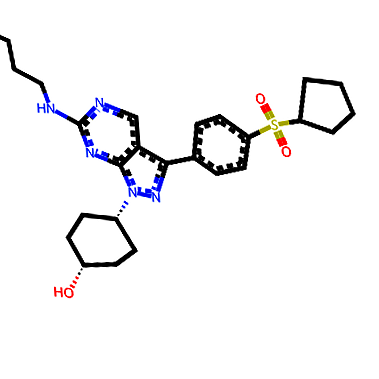 CCCCNc1ncc2c(-c3ccc(S(=O)(=O)C4CCCC4)cc3)nn([C@H]3CC[C@@H](O)CC3)c2n1